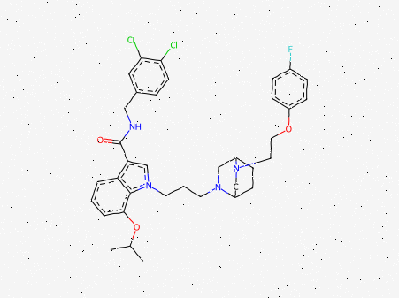 CC(C)Oc1cccc2c(C(=O)NCc3ccc(Cl)c(Cl)c3)cn(CCCN3CC4CCC3CN4CCOc3ccc(F)cc3)c12